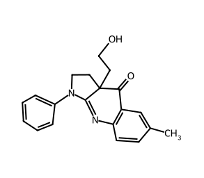 Cc1ccc2c(c1)C(=O)C1(CCO)CCN(c3ccccc3)C1=N2